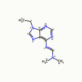 [CH2]Cn1cnc2c(/N=C/N(C)C)ncnc21